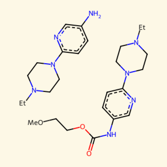 CCN1CCN(c2ccc(N)cn2)CC1.CCN1CCN(c2ccc(NC(=O)OCCOC)cn2)CC1